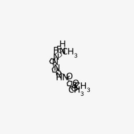 CNC1CCN(c2cccc(-c3ccc4cnc(CNC(=O)c5ccc(C)c(S(C)(=O)=O)c5)cc4n3)n2)CC1(F)F